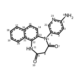 Nc1ccc(N2C(=O)CC(=O)Nc3c2ccc2ccccc32)cn1